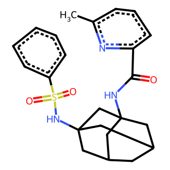 Cc1cccc(C(=O)NC23CC4CC(C2)CC(NS(=O)(=O)c2ccccc2)(C4)C3)n1